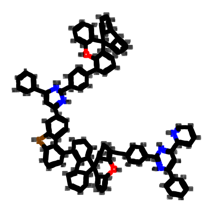 c1ccc(-c2cc(-c3ccc4c(c3)sc3cccc(-c5cccc6c5-c5ccccc5C65c6ccccc6Oc6c(-c7ccc(-c8nc(-c9ccccc9)cc(-c9ccccn9)n8)cc7)cccc65)c34)nc(-c3ccc(-c4cccc5c4Oc4ccccc4C54c5ccccc5-c5ccccc54)cc3)n2)cc1